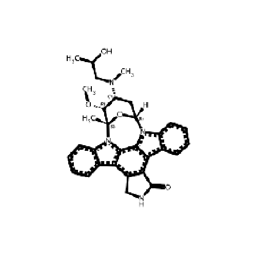 CO[C@@H]1[C@H](N(C)CC(C)O)C[C@H]2O[C@]1(C)n1c3ccccc3c3c4c(c5c6ccccc6n2c5c31)C(=O)NC4